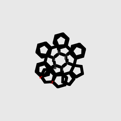 C1CCC(C2([SiH]3[SiH](C4(C5CCCCC5)CCCC4)[SiH](C4(C5CCCCC5)CCCC4)[SiH](C4(C5CCCCC5)CCCC4)[SiH](C4(C5CCCCC5)CCCC4)[SiH]3C3(C4CCCCC4)CCCC3)CCCC2)CC1